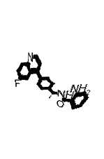 C[C@@H](NC(=O)c1ccccc1N)C1CCC(c2ccnc3ccc(F)cc23)CC1